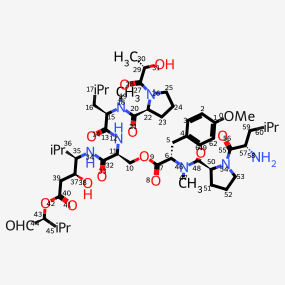 COc1ccc(C[C@@H](C(=O)OC[C@H](NC(=O)[C@@H](CC(C)C)N(C)C(=O)[C@@H]2CCCN2C(=O)[C@H](C)O)C(=O)N[C@H](C(C)C)[C@@H](O)CC(=O)O[C@H](C=O)C(C)C)N(C)C(=O)[C@@H]2CCCN2C(=O)[C@@H](N)CC(C)C)cc1